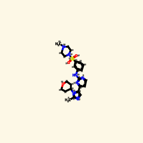 Cc1ncc(-c2ccnc(Nc3cccc(S(=O)(=O)N4CCN(C)CC4)c3)n2)n1C1CCOCC1